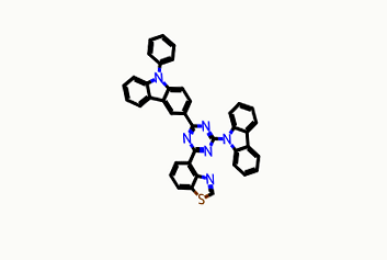 c1ccc(-n2c3ccccc3c3cc(-c4nc(-c5cccc6scnc56)nc(-n5c6ccccc6c6ccccc65)n4)ccc32)cc1